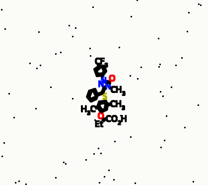 CCC(Oc1cc(C)c(SC(c2ccccc2)c2nn(-c3ccc(C(F)(F)F)cc3)c(=O)n2C)cc1C)C(=O)O